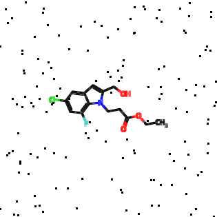 CCOC(=O)CCn1c(CO)cc2cc(Cl)cc(F)c21